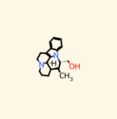 CC[C@]12CCCN3CCc4c(n(c5ccccc45)[C@H](CO)C1)[C@H]32